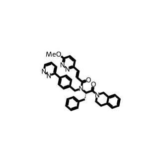 COc1ccc(C=CC(=O)N(Cc2ccc(-c3cccnn3)cc2)[C@@H](Cc2ccccc2)C(=O)N2CCc3ccccc3C2)nn1